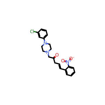 O=C(CC=Cc1ccccc1[N+](=O)[O-])CN1CCN(c2cccc(Cl)c2)CC1